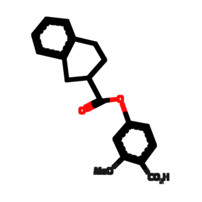 COc1cc(OC(=O)C2CCc3ccccc3C2)ccc1C(=O)O